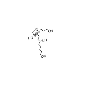 C[C@H]1C[C@@H](O)[C@H](CCC(O)CCCCCO)[C@H]1CCCO